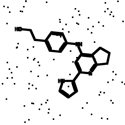 OCCc1ccc(Nc2cc(-c3ccc[nH]3)nc3c2CCC3)cc1